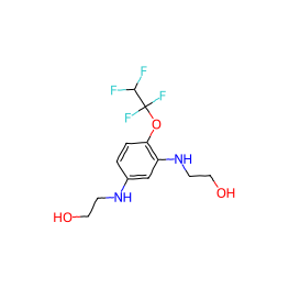 OCCNc1ccc(OC(F)(F)C(F)F)c(NCCO)c1